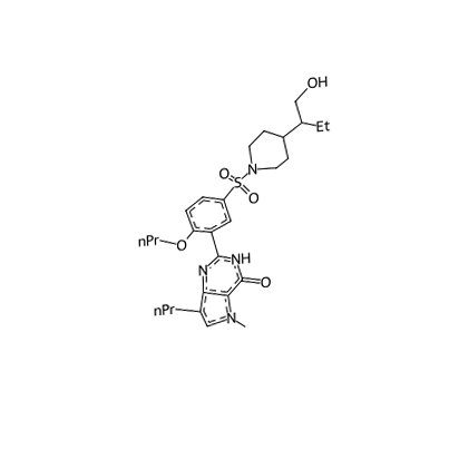 CCCOc1ccc(S(=O)(=O)N2CCC(C(CC)CO)CC2)cc1-c1nc2c(CCC)cn(C)c2c(=O)[nH]1